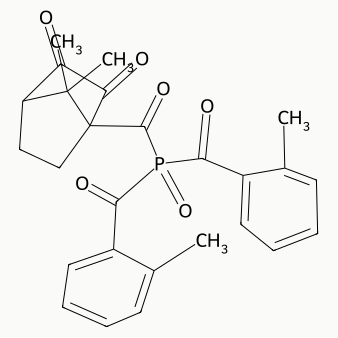 Cc1ccccc1C(=O)P(=O)(C(=O)c1ccccc1C)C(=O)C12CCC(C(=O)C1=O)C2(C)C